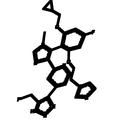 Cn1cnc(-c2cc(-c3nn[nH]c3CF)ccn2)c1-c1c(OCCn2ccnc2)cc(F)cc1OCC1CC1